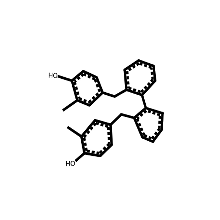 Cc1cc(Cc2ccccc2-c2ccccc2Cc2ccc(O)c(C)c2)ccc1O